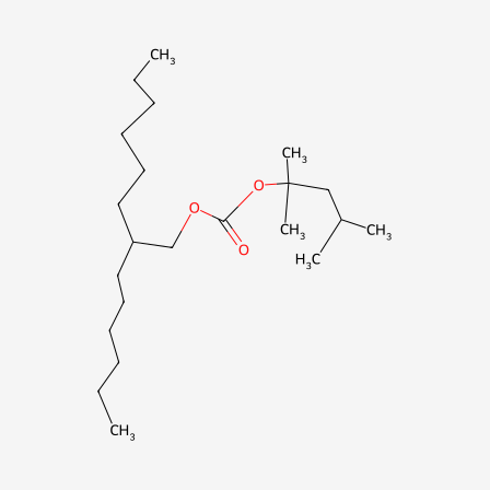 CCCCCCC(CCCCCC)COC(=O)OC(C)(C)CC(C)C